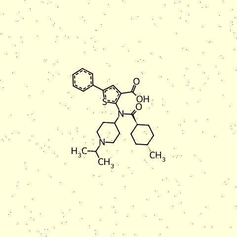 CC(C)N1CCC(N(c2sc(-c3ccccc3)cc2C(=O)O)C(=O)[C@H]2CC[C@H](C)CC2)CC1